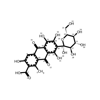 Cc1c(C(=O)O)c(O)cc2c1C(=O)c1c(O)c([C@@]3(O)O[C@H](CO)[C@@H](O)[C@H](O)[C@H]3O)c(O)c(O)c1C2=O